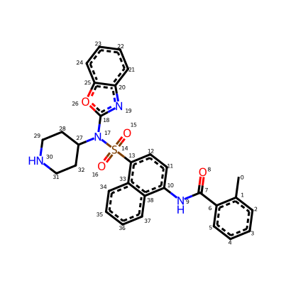 Cc1ccccc1C(=O)Nc1ccc(S(=O)(=O)N(c2nc3ccccc3o2)C2CCNCC2)c2ccccc12